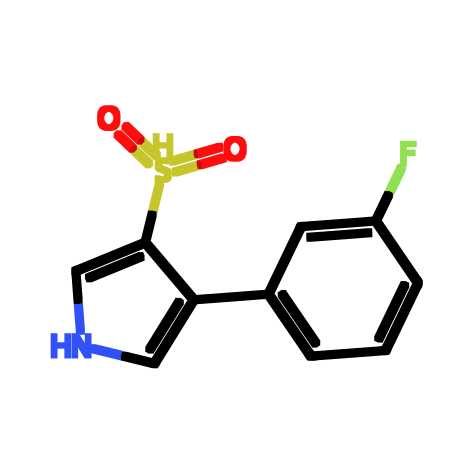 O=[SH](=O)c1c[nH]cc1-c1cccc(F)c1